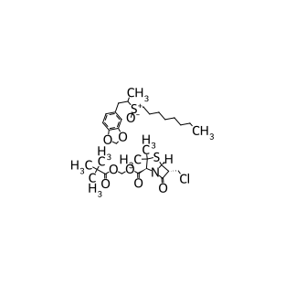 CC(C)(C)C(=O)OCOC(=O)[C@@H]1N2C(=O)[C@@H](CCl)[C@H]2SC1(C)C.CCCCCCCC[S+]([O-])C(C)Cc1ccc2c(c1)OCO2